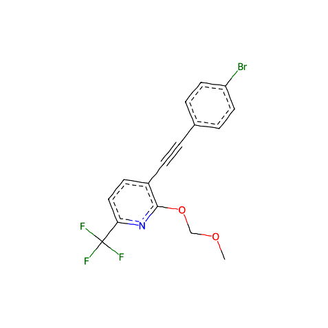 COCOc1nc(C(F)(F)F)ccc1C#Cc1ccc(Br)cc1